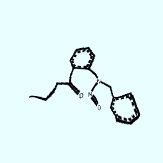 CCCC(=O)c1ccccc1N(Cc1ccccc1)N=O